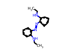 CCNc1ccccc1N=Nc1ccccc1NCC